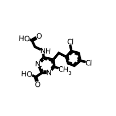 Cc1nc(C(=O)O)nc(NCC(=O)O)c1Cc1ccc(Cl)cc1Cl